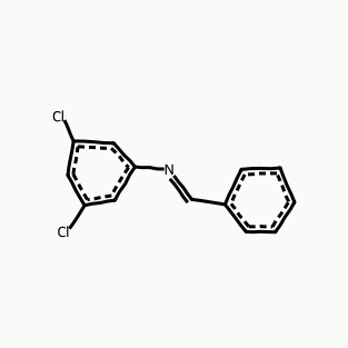 Clc1cc(Cl)cc(N=Cc2ccccc2)c1